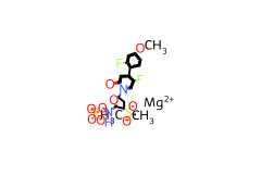 COc1ccc(-c2cc(=O)n(CC[C@](C)(C(=O)NOP(=O)([O-])[O-])S(C)(=O)=O)cc2F)c(F)c1.[Mg+2]